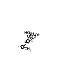 Cc1ccc(F)cc1COc1ccc(S(=O)(=O)N2CCC(O)CC2C(=O)NO)cc1